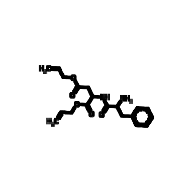 C=CCOC(=O)CC(NC(=O)C(N)Cc1ccccc1)C(=O)OCC=C